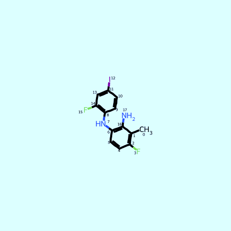 Cc1c(F)ccc(Nc2ccc(I)cc2F)c1N